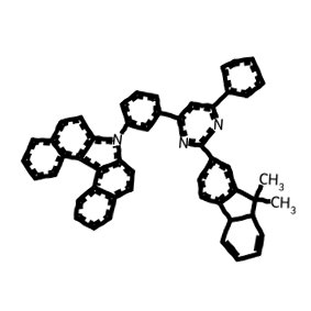 CC1(C)c2cc(-c3nc(-c4ccccc4)cc(-c4cccc(-n5c6ccc7ccccc7c6c6c7ccccc7ccc65)c4)n3)ccc2C2C=CC=CC21